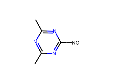 Cc1nc(C)nc(N=O)n1